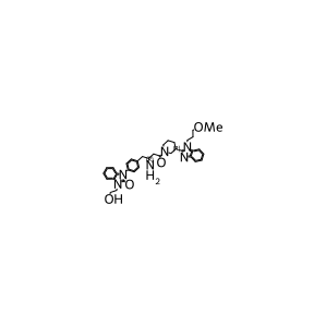 COCCCn1c([C@@H]2CCCN(C(=O)C[C@H](N)Cc3ccc(-n4c(=O)n(CCO)c5ccccc54)cc3)C2)nc2ccccc21